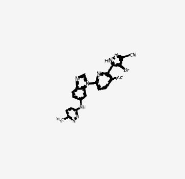 CC(=O)c1ccc(-n2cnc3ccc(Nc4ccc(C)nn4)cc32)nc1-c1[nH]nc(C#N)c1Br